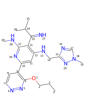 CCCOc1nnccc1-c1cc(NCc2ncn(C)n2)c(C(=N)C(C)C)c(NC)n1